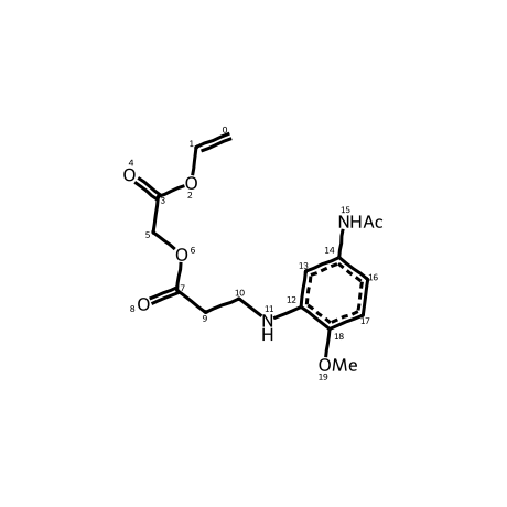 C=COC(=O)COC(=O)CCNc1cc(NC(C)=O)ccc1OC